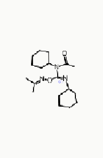 CC(=O)N(/C(=N/C1CCCCC1)ON=C(C)C)C1CCCCC1